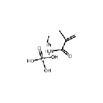 C=C(C)C(N)=O.CC(C)C.O=P(O)(O)O